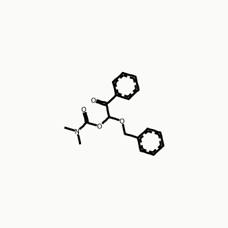 CN(C)C(=O)OC(OCc1ccccc1)C(=O)c1ccccc1